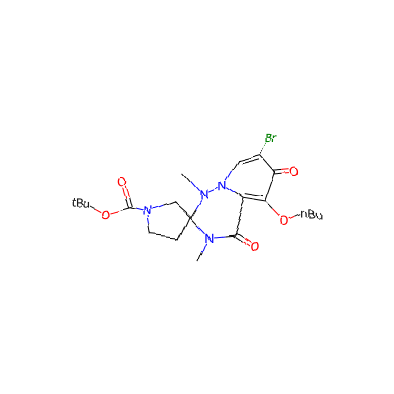 CCCCOc1c2n(cc(Br)c1=O)N(C)C1(CCN(C(=O)OC(C)(C)C)C1)N(C)C2=O